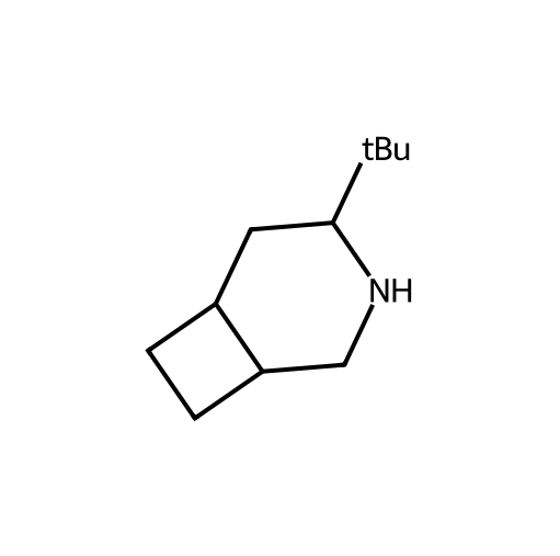 CC(C)(C)C1CC2CCC2CN1